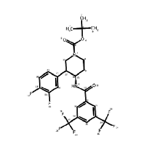 CC(C)(C)OC(=O)N1CC[C@@H](NC(=O)c2cc(C(F)(F)F)cc(C(F)(F)F)c2)C(c2ccc(F)c(F)c2)C1